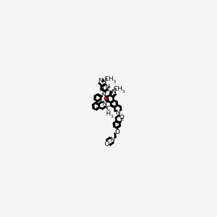 Cc1c(C(=O)N(c2ccccc2)c2cnc3c(cnn3C)c2)c(-c2cc3c(cc2C(=O)N2Cc4ccccc4C[C@H]2C)CN(C(=O)Cc2ccc(OCCN4CCOCC4)cc2F)CC3)cn1C